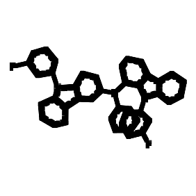 Fc1cccc(-n2c3ccccc3c3cc(N(c4ccccc4)c4cccc5c6ccccc6n(-c6cccc(F)c6)c45)ccc32)c1